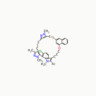 CC(=O)c1c2c3ccc(Cl)c(c3n1C)-c1c(c(C)nn1C)CSCc1cc(n(C)n1)CSc1cc(c3ccccc3c1)OCCC2